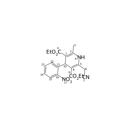 CCOC(=O)C1=C(C)NC(CC#N)=C(C(=O)OCC)C1c1ccccc1[N+](=O)[O-]